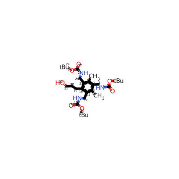 Cc1c(CNC(=O)OC(C)(C)C)c(C)c(CNC(=O)OC(C)(C)C)c(CCCO)c1CNC(=O)OC(C)(C)C